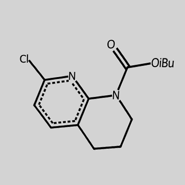 CC(C)COC(=O)N1CCCc2ccc(Cl)nc21